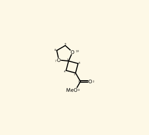 COC(=O)C1CC2(C1)OCCO2